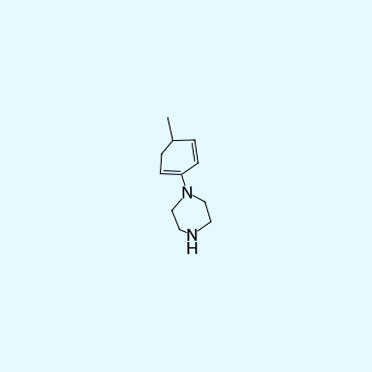 CC1C=CC(N2CCNCC2)=CC1